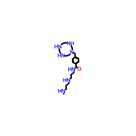 CNCCCNCCCNC(=O)c1ccc(CN2CCNCCNCCNCC2)cc1